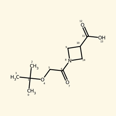 CC(C)(C)OCC(=O)N1CC(C(=O)O)C1